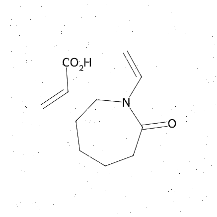 C=CC(=O)O.C=CN1CCCCCC1=O